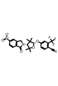 CC1(C)O[C@@H](Oc2ccc(C#N)c(C(F)(F)F)c2)C(C)(C)[C@H]1N1Cc2cc([N+](=O)[O-])ccc2C1=O